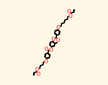 C=CC(=O)OCCCCCCOc1ccc(C(=O)Oc2ccc(OC(=O)c3ccc(OCCCCOC(=O)C=C)cc3)cc2C)cc1